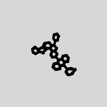 c1ccc(-c2nc3cc(-c4c5ccccc5c(-c5cccnc5)c5ccccc45)ccc3c3c2ccc2c4ccccc4sc23)cc1